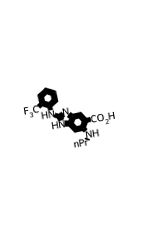 CCCNc1cc2[nH]c(Nc3ccccc3C(F)(F)F)nc2cc1C(=O)O